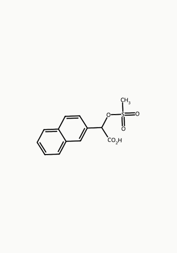 CS(=O)(=O)OC(C(=O)O)c1ccc2ccccc2c1